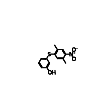 Cc1cc([N+](=O)[O-])c(C)cc1Sc1cccc(O)c1